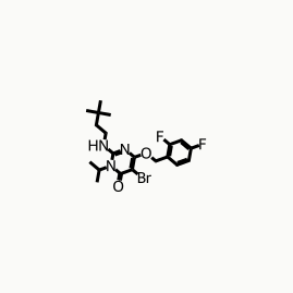 CC(C)n1c(NCCC(C)(C)C)nc(OCc2ccc(F)cc2F)c(Br)c1=O